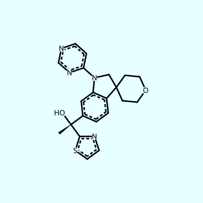 C[C@@](O)(c1ccc2c(c1)N(c1ccncn1)CC21CCOCC1)c1nccs1